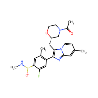 CN[S+]([O-])c1cc(C)c(-c2nc3cc(C)ccn3c2C[C@H]2CN(C(C)=O)CCO2)cc1F